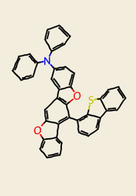 c1ccc(N(c2ccccc2)c2ccc3oc4c(-c5cccc6c5sc5ccccc56)c5c(cc4c3c2)oc2ccccc25)cc1